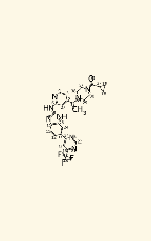 CC(c1ccnc(Nc2nc3ccc(-c4cc(C(F)(F)F)ncn4)cc3[nH]2)c1)N1CCN(C(=O)C2CC2)CC1